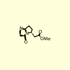 COC(=O)C[C@@H]1CCc2nccc(=O)n21